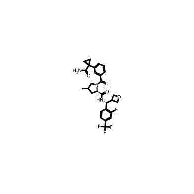 C[C@@H]1C[C@H](C(=O)N[C@@H](c2ccc(C(F)(F)F)cc2F)C2COC2)N(C(=O)c2cccc(C3(C(N)=O)CC3)c2)C1